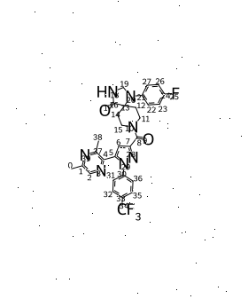 Cc1cnc(-c2cc(C(=O)N3CCC4(CC3)C(=O)NCN4c3ccc(F)cc3)nn2-c2ccc(C(F)(F)F)cc2)c(C)n1